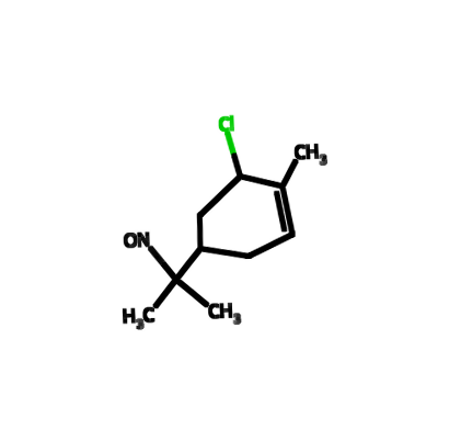 CC1=CCC(C(C)(C)N=O)CC1Cl